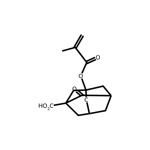 C=C(C)C(=O)OC12CC3CC(C1)C(=O)C(C(=O)O)(C3)C2